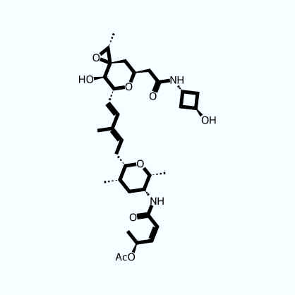 CC(=O)O[C@@H](C)/C=C\C(=O)N[C@@H]1C[C@H](C)[C@H](C/C=C(C)/C=C/[C@H]2O[C@H](CC(=O)N[C@H]3C[C@H](O)C3)C[C@]3(O[C@@H]3C)[C@@H]2O)O[C@@H]1C